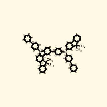 CC1(C)c2ccccc2-c2ccc(N(c3ccc(-c4ccccc4)cc3)c3ccc(-c4ccc5c(c4)c4c6c(ccc4n5-c4ccc(-c5ccccc5)cc4)-c4ccccc4C6(C)C)cc3)cc21